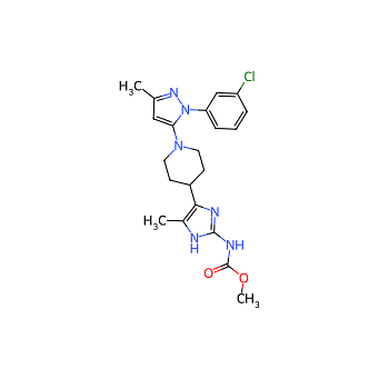 COC(=O)Nc1nc(C2CCN(c3cc(C)nn3-c3cccc(Cl)c3)CC2)c(C)[nH]1